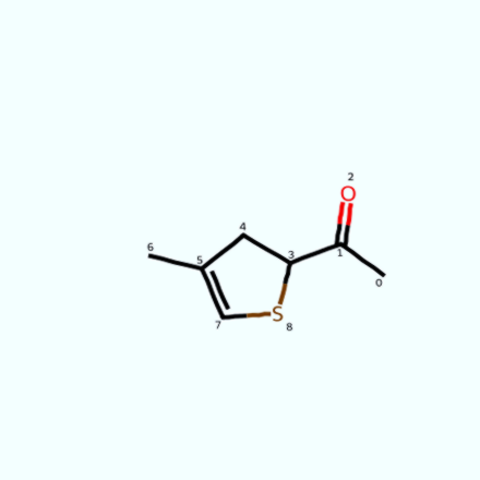 CC(=O)C1CC(C)=CS1